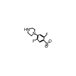 O=[N+]([O-])c1cc(F)c(N2CCNCC2)cc1F